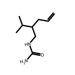 C=CCC(CNC(N)=O)C(C)C